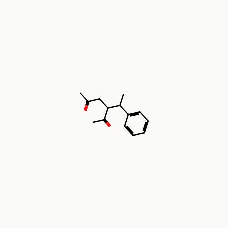 CC(=O)CC(C(C)=O)C(C)c1ccccc1